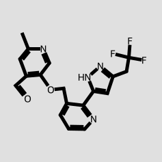 Cc1cc(C=O)c(OCc2cccnc2-c2cc(CC(F)(F)F)n[nH]2)cn1